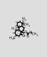 COC(=O)OCC12CCC3C(C)(C)CCCC3(C)C1CCC(C)CC2=O